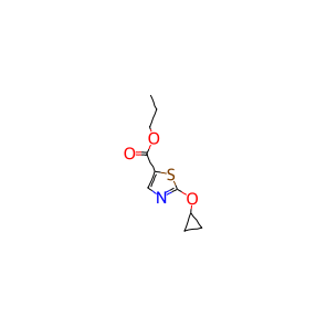 CCCOC(=O)c1cnc(OC2CC2)s1